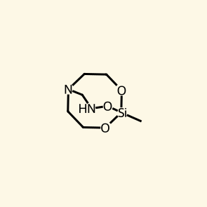 C[Si]12OCCN(CCO1)CNO2